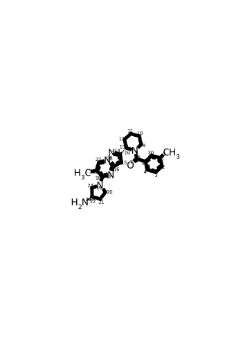 Cc1cccc(C(=O)N2CCCC[C@H]2c2cc3nc(N4CC[C@H](N)C4)c(C)cn3n2)c1